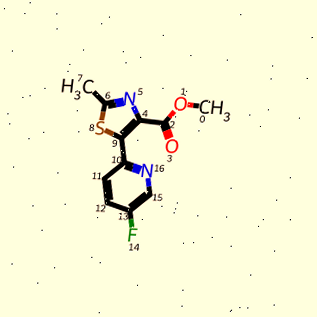 COC(=O)c1nc(C)sc1-c1ccc(F)cn1